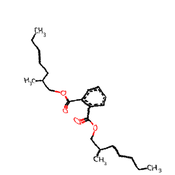 CCCCCC(C)COC(=O)c1ccccc1C(=O)OCC(C)CCCCC